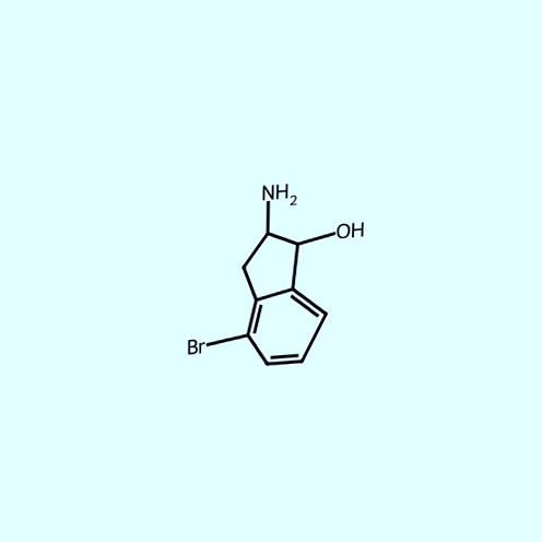 NC1Cc2c(Br)cccc2C1O